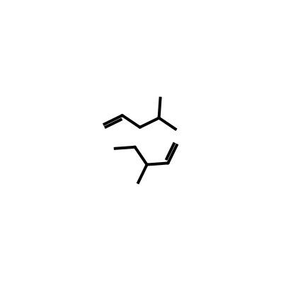 C=CC(C)CC.C=CCC(C)C